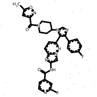 Cc1cc(C(=O)N2CCC(n3cnc(-c4ccc(F)cc4)c3-c3ccc4nc(NC(=O)c5ccnc(F)c5)cn4n3)CC2)no1